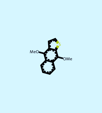 COc1c2ccccc2c(OC)c2sccc12